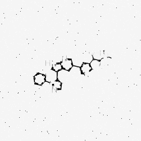 CN(C)C(=O)C(O)c1cncc(-c2cnc3[nH]cc(-c4ccnn4-c4ccccc4)c3c2)c1